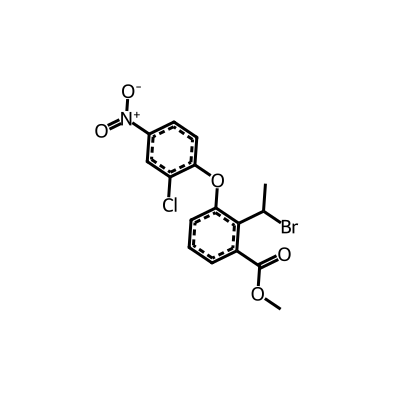 COC(=O)c1cccc(Oc2ccc([N+](=O)[O-])cc2Cl)c1C(C)Br